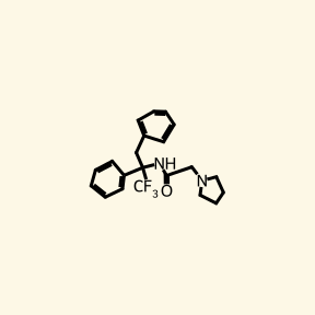 O=C(CN1CCCC1)NC(Cc1ccccc1)(c1ccccc1)C(F)(F)F